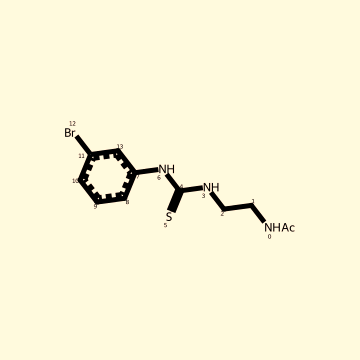 CC(=O)NCCNC(=S)Nc1cccc(Br)c1